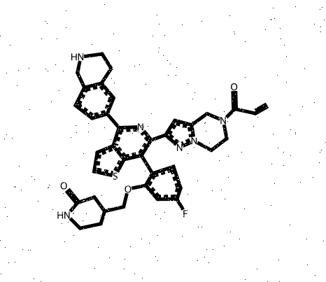 C=CC(=O)N1CCn2nc(-c3nc(-c4ccc5c(c4)CCNC5)c4ccsc4c3-c3ccc(F)cc3OCC3CCNC(=O)C3)cc2C1